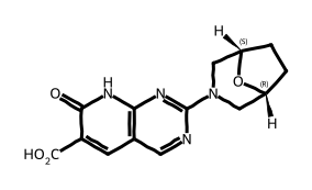 O=C(O)c1cc2cnc(N3C[C@H]4CC[C@@H](C3)O4)nc2[nH]c1=O